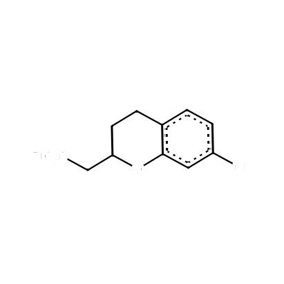 CCOC(=O)CC1CCc2ccc(O)cc2O1